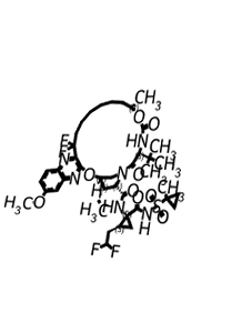 CC[C@@H]1[C@@H]2CN(C(=O)[C@H](C(C)(C)C)NC(=O)O[C@H](C)CCCCCCC(F)(F)c3nc4ccc(OC)cc4nc3O2)[C@@H]1C(=O)N[C@]1(C(=O)NS(=O)(=O)C2(C)CC2)C[C@H]1CC(F)F